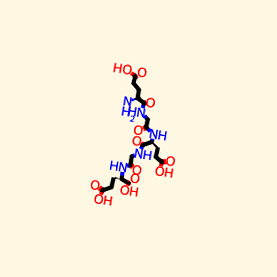 N[C@@H](CCC(=O)O)C(=O)NCC(=O)N[C@@H](CCC(=O)O)C(=O)NCC(=O)N[C@@H](CCC(=O)O)C(=O)O